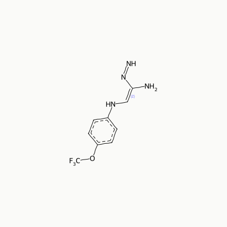 N=N/C(N)=C\Nc1ccc(OC(F)(F)F)cc1